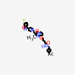 CC(=O)c1ccc(CNC(=O)CCCCOC2CCCn3c2nc(C)c(CCN2CCC(c4noc5cc(F)ccc45)CC2)c3=O)cc1